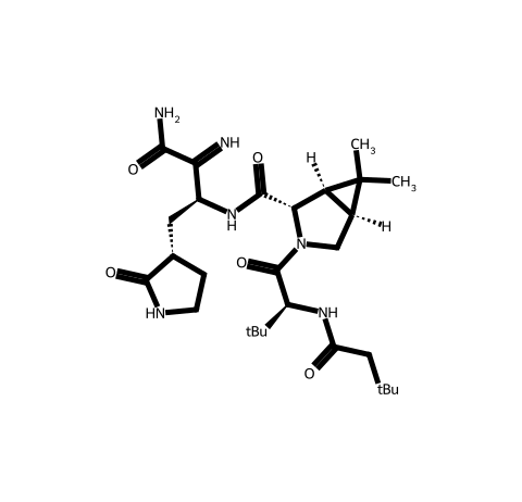 CC(C)(C)CC(=O)N[C@H](C(=O)N1C[C@H]2[C@@H]([C@H]1C(=O)N[C@@H](C[C@@H]1CCNC1=O)C(=N)C(N)=O)C2(C)C)C(C)(C)C